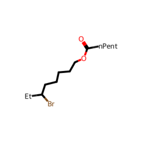 CCCCCC(=O)OCCCCCC(Br)CC